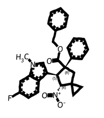 Cn1cc([C@@H]2[C@@H]([N+](=O)[O-])C3(CC3)C[C@]2(C(=O)OCc2ccccc2)c2ccccc2)c2ccc(F)cc21